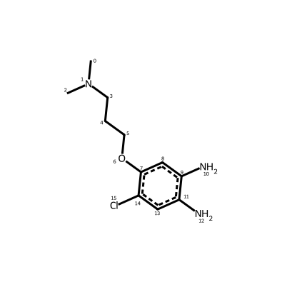 CN(C)CCCOc1cc(N)c(N)cc1Cl